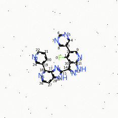 Fc1c(-c2cncnc2)cnc2[nH]nc(-c3nc4c(-c5cccnc5)nccc4[nH]3)c12